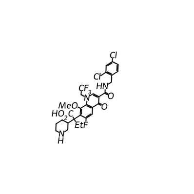 CCC(C(=O)O)(c1c(F)cc2c(=O)c(C(=O)NCc3ccc(Cl)cc3Cl)cn(CC(F)(F)F)c2c1OC)C1CCCNC1